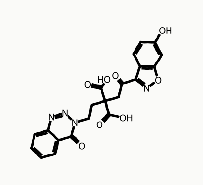 O=C(CC(CCn1nnc2ccccc2c1=O)(C(=O)O)C(=O)O)c1noc2cc(O)ccc12